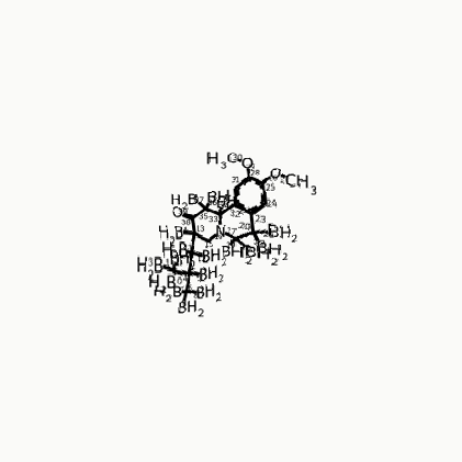 BC(B)(B)C(B)(C(B)(B)B)C(B)(B)C1(B)CN2C(B)(B)C(B)(B)c3cc(OC)c(OC)cc3C2(B)C(B)(B)C1=O